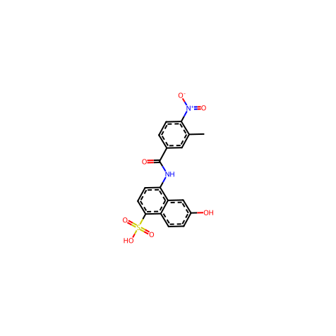 Cc1cc(C(=O)Nc2ccc(S(=O)(=O)O)c3ccc(O)cc23)ccc1[N+](=O)[O-]